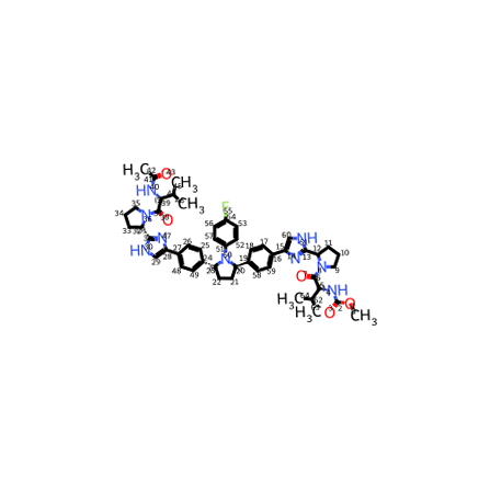 COC(=O)N[C@H](C(=O)N1CCCC1c1nc(-c2ccc([C@H]3CC[C@H](c4ccc(-c5c[nH]c([C@@H]6CCCN6C(=O)[C@@H](NC(C)=O)C(C)C)n5)cc4)N3c3ccc(F)cc3)cc2)c[nH]1)C(C)C